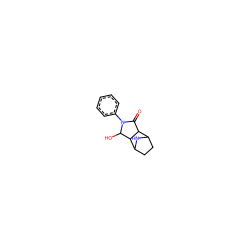 O=C1C2C3CCC(N3)C2C(O)N1c1ccccc1